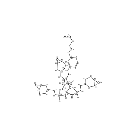 COCCOCc1cccc(CCC[Si](C)(C)O[Si](O[Si](C)(C)CCC2CCC3OC3C2)(O[Si](C)(C)CCC2CCC3OC3C2)O[Si](C)(C)CCC2CCC3OC3C2)c1